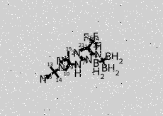 BC(B)(B)Nc1nc(Nc2cn(C(C)(C)C#N)nc2C)ncc1C(F)(F)F